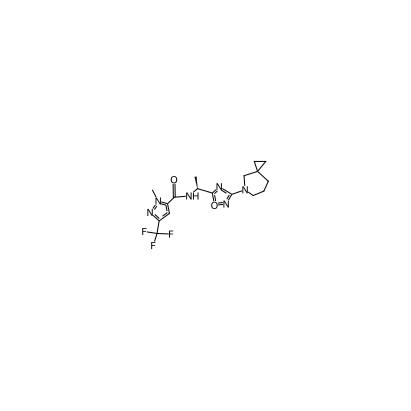 C[C@H](NC(=O)c1cc(C(F)(F)F)nn1C)c1nc(N2CCCC3(CC3)C2)no1